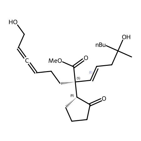 CCCCC(C)(O)C/C=C/[C@](CCC=C=CCO)(C(=O)OC)[C@H]1CCCC1=O